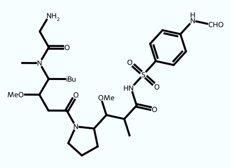 CCC(C)C(C(CC(=O)N1CCCC1C(OC)C(C)C(=O)NS(=O)(=O)c1ccc(NC=O)cc1)OC)N(C)C(=O)CN